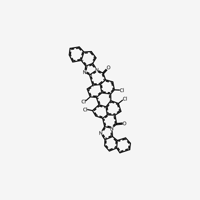 O=c1c2cc(Cl)c3c4c(Cl)cc5c(=O)n6c(nc7ccc8ccccc8c76)c6cc(Cl)c(c7c(Cl)cc(c2c37)c2nc3c7ccccc7ccc3n12)c4c56